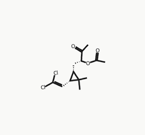 CC(=O)O[C@H](C[C@H]1[C@@H](C=C(Cl)Cl)C1(C)C)C(C)=O